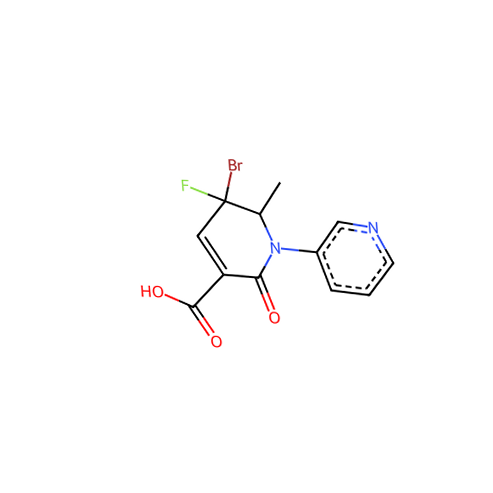 CC1N(c2cccnc2)C(=O)C(C(=O)O)=CC1(F)Br